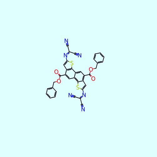 N#CC(C#N)=Nc1cc2c(C(=O)OCc3ccccc3)cc3c(cc(C(=O)OCc4ccccc4)c4cc(N=C(C#N)C#N)sc43)c2s1